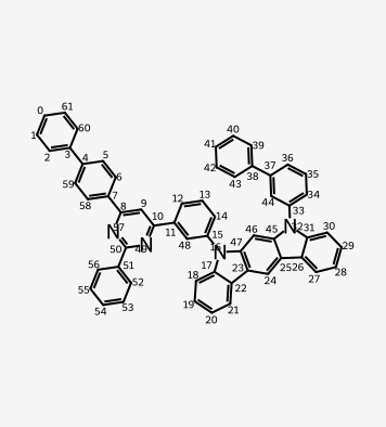 c1ccc(-c2ccc(-c3cc(-c4cccc(-n5c6ccccc6c6cc7c8ccccc8n(-c8cccc(-c9ccccc9)c8)c7cc65)c4)nc(-c4ccccc4)n3)cc2)cc1